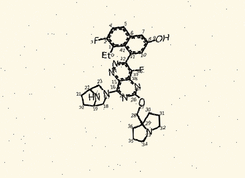 CCc1c(F)ccc2cc(O)cc(-c3nnc4c(N5CC6CCC(C5)N6)nc(OCC56CCCN5CCC6)nc4c3F)c12